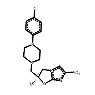 C[C@]1(CN2CCN(c3ccc(Cl)cc3)CC2)Cn2cc([N+](=O)[O-])nc2O1